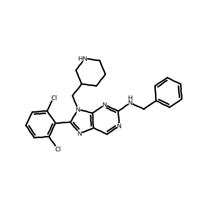 Clc1cccc(Cl)c1-c1nc2cnc(NCc3ccccc3)nc2n1CC1CCCNC1